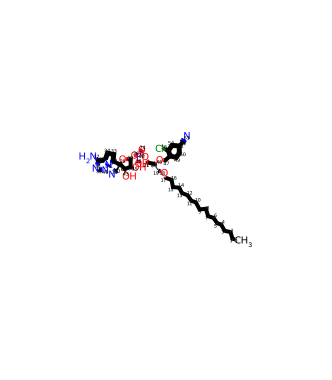 CCCCCCCCCCCCCCCCCCOC[C@H](COP(=O)(O)O[C@H]1O[C@@](C#N)(c2ccc3c(N)ncnn23)[C@H](O)[C@@H]1O)OCc1ccc(C#N)cc1Cl